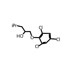 CC(C)CC(O)COc1c(Cl)cc(Cl)cc1Cl